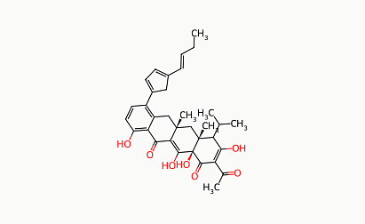 CC/C=C/C1=CC=C(c2ccc(O)c3c2C[C@]2(C)C[C@]4(C)C(C(C)C)C(O)=C(C(C)=O)C(=O)[C@]4(O)C(O)=C2C3=O)C1